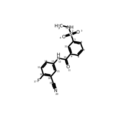 CNS(=O)(=O)c1cccc(C(=O)Nc2ccc(F)c(C#N)c2)c1